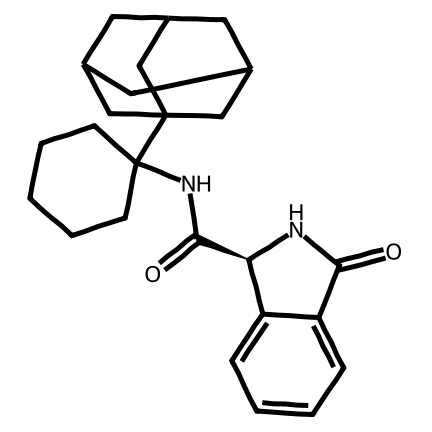 O=C1N[C@H](C(=O)NC2(C34CC5CC(CC(C5)C3)C4)CCCCC2)c2ccccc21